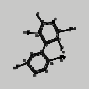 Cc1nc(F)c(F)c(-c2cc(F)ccc2C(C)C)c1F